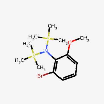 COc1cccc(Br)c1N(S(C)(C)C)S(C)(C)C